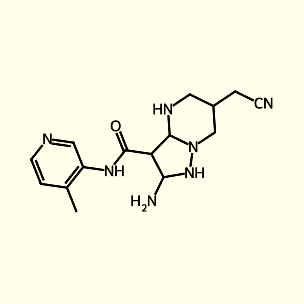 Cc1ccncc1NC(=O)C1C(N)NN2CC(CC#N)CNC12